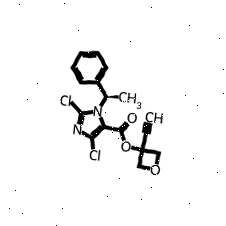 C#CC1(OC(=O)c2c(Cl)nc(Cl)n2[C@H](C)c2ccccc2)COC1